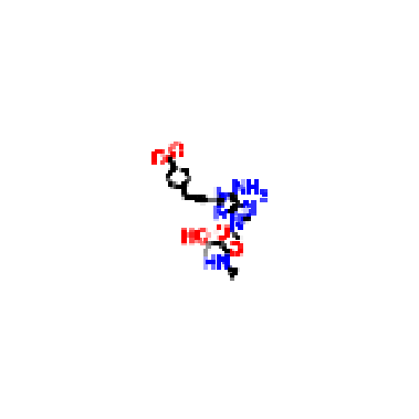 COC(=O)C1CCC(CC#Cc2nc(N)c3ncn([C@@H](C)O[C@H](C(=O)NC4CC4)C(C)O)c3n2)CC1